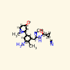 C=N/C(=C\c1cc(-c2cc(=O)ccn2C)cc(N)c1C)NC(=O)[C@H]1C[C@@H]1C#N